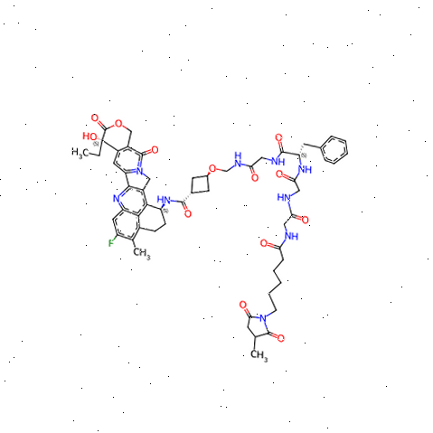 CC[C@@]1(O)C(=O)OCc2c1cc1n(c2=O)Cc2c-1nc1cc(F)c(C)c3c1c2[C@@H](NC(=O)[C@H]1C[C@H](OCNC(=O)CNC(=O)[C@H](Cc2ccccc2)NC(=O)CNC(=O)CNC(=O)CCCCCN2C(=O)CC(C)C2=O)C1)CC3